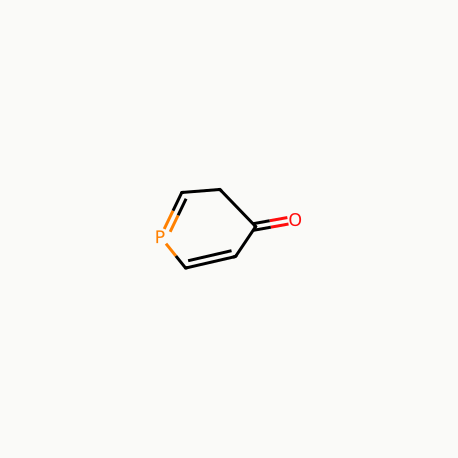 O=C1C=CP=CC1